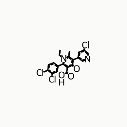 CCn1c(C)c(-c2cncc(Cl)c2)c(=O)c(C(=O)O)c1-c1ccc(Cl)c(Cl)c1